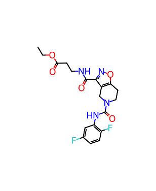 CCOC(=O)CCNC(=O)c1noc2c1CN(C(=O)Nc1cc(F)ccc1F)CC2